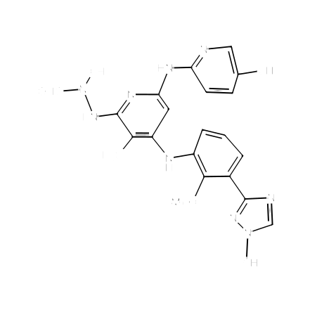 COc1c(Nc2cc(Nc3ccc(C)cn3)nc(NN(C)C=O)c2C)cccc1-c1ncn(C)n1